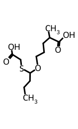 CCCC(OCCCC(C)C(=O)O)SCC(=O)O